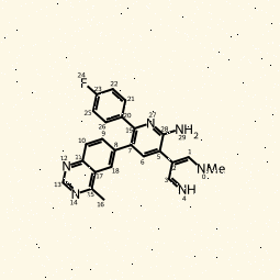 CN/C=C(\C=N)c1cc(-c2ccc3ncnc(C)c3c2)c(-c2ccc(F)cc2)nc1N